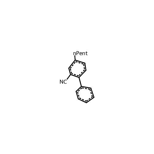 CCCCCc1ccc(-c2ccccc2)c(C#N)c1